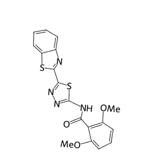 COc1cccc(OC)c1C(=O)Nc1nnc(-c2nc3ccccc3s2)s1